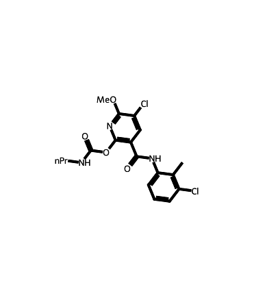 CCCNC(=O)Oc1nc(OC)c(Cl)cc1C(=O)Nc1cccc(Cl)c1C